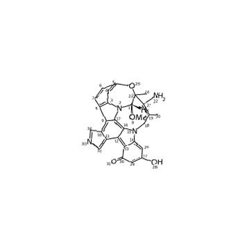 CO[C@@H]1n2c3cc4ccc3c3c5c(c6c7c(n(c6c32)C/C(C)=C(/N)C1(C)O4)=CC(O)=CC7=O)=CN=C5